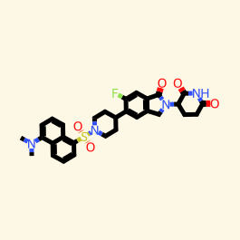 CN(C)c1cccc2c(S(=O)(=O)N3CCC(c4cc5c(cc4F)C(=O)N(C4CCC(=O)NC4=O)C5)CC3)cccc12